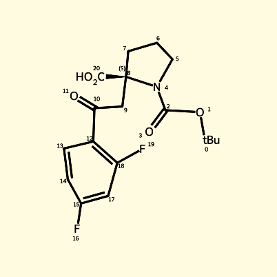 CC(C)(C)OC(=O)N1CCC[C@]1(CC(=O)c1ccc(F)cc1F)C(=O)O